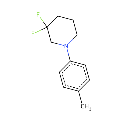 Cc1ccc(N2CCCC(F)(F)C2)cc1